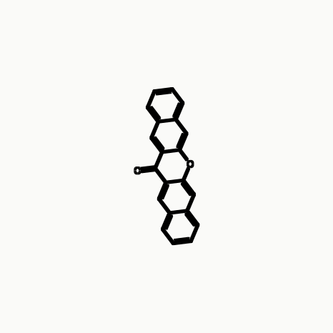 O=c1c2cc3ccccc3cc2oc2cc3ccccc3cc12